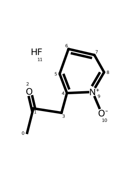 CC(=O)Cc1cccc[n+]1[O-].F